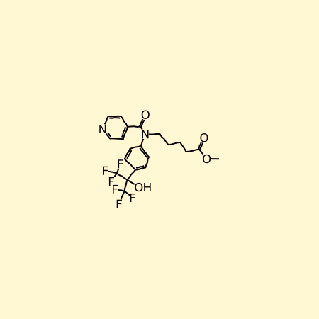 COC(=O)CCCCN(C(=O)c1ccncc1)c1ccc(C(O)(C(F)(F)F)C(F)(F)F)cc1